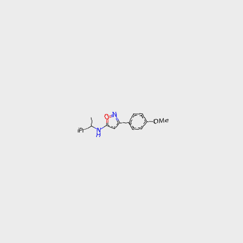 COc1ccc(-c2cc(NC(C)C(C)C)on2)cc1